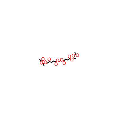 CC(=O)OC(C)OCC(=O)CCC(=O)OCOC(=O)CCC(=O)OC(C)OC(C)=O